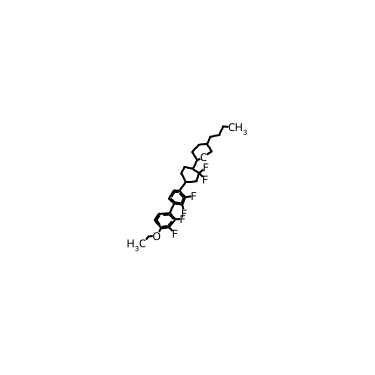 CCCCC1CCC(C2CCC(c3ccc(-c4ccc(OCC)c(F)c4F)c(F)c3F)CC2(F)F)CC1